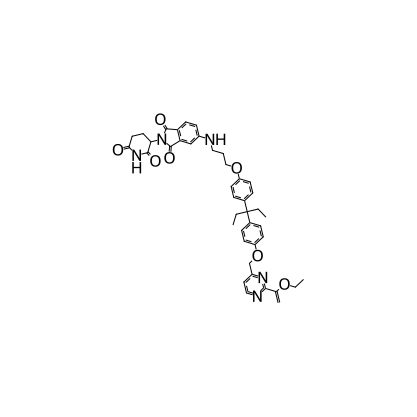 C=C(OCC)c1nccc(COc2ccc(C(CC)(CC)c3ccc(OCCCNc4ccc5c(c4)C(=O)N(C4CCC(=O)NC4=O)C5=O)cc3)cc2)n1